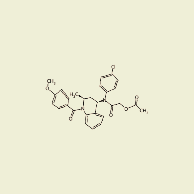 COc1ccc(C(=O)N2c3ccccc3[C@H](N(C(=O)COC(C)=O)c3ccc(Cl)cc3)C[C@@H]2C)cc1